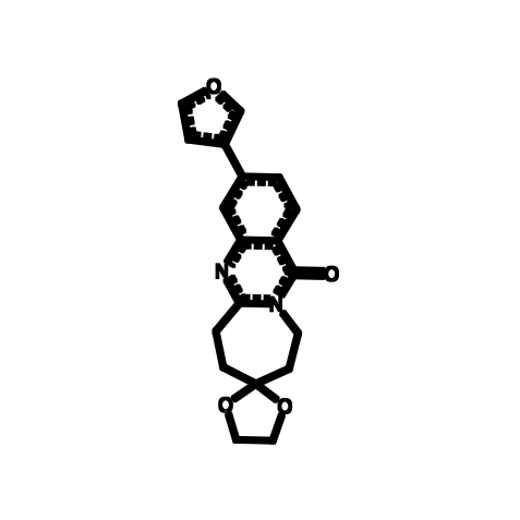 O=c1c2ccc(-c3ccoc3)cc2nc2n1CCC1(CC2)OCCO1